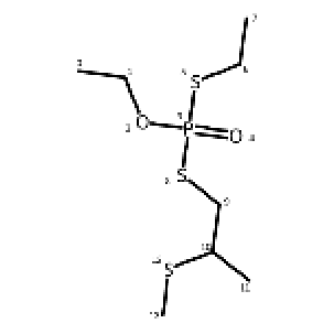 CCOP(=O)(SCC)SCC(C)SC